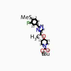 CSc1ccc(C2=NCC([C@@H](C)OC3CCN(C(=O)OC(C)(C)C)CC3)=N2)cc1F